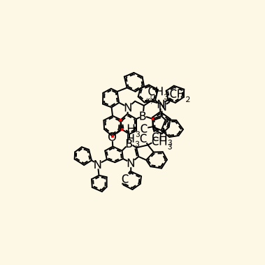 C=CN(C1=C(B2c3cc4c(cc3N(c3c(-c5ccccc5)cccc3-c3ccccc3)CC2[C@H](C)N(c2ccccc2)c2ccccc2)Oc2cc(N(c3ccccc3)c3ccccc3)cc3c2B4C2=C(c4ccccc4C2(C)C)N3c2ccccc2)C(C)(C)c2ccccc21)c1ccccc1